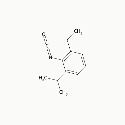 CCc1cccc(C(C)C)c1N=C=O